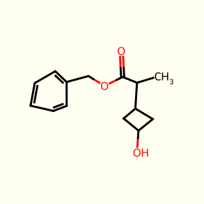 CC(C(=O)OCc1ccccc1)C1CC(O)C1